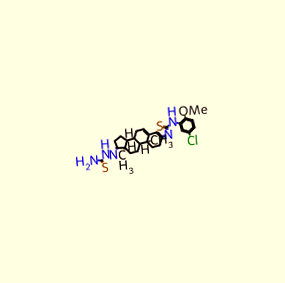 COc1ccc(Cl)cc1Nc1nc2c(s1)C1=CC[C@@H]3[C@H](CC[C@]4(C)/C(=N/NC(N)=S)CC[C@@H]34)[C@@]1(C)CC2